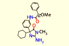 CO[C@@H](C(=O)Nc1cccc(C2(C3CCCCC3)N=C(N)N(C)C2=O)c1)c1ccccc1